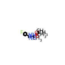 CC(NC(=O)OC(C)(C)C)c1nc(-c2ccc(F)cc2)c[nH]1